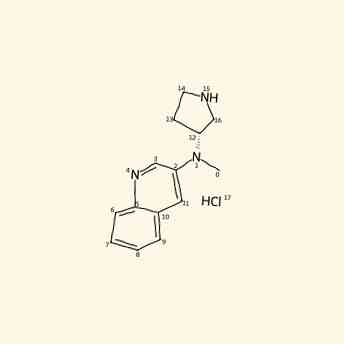 CN(c1cnc2ccccc2c1)[C@@H]1CCNC1.Cl